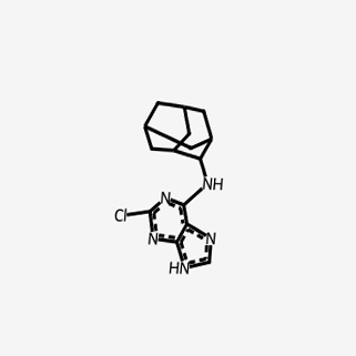 Clc1nc(NC2C3CC4CC(C3)CC2C4)c2nc[nH]c2n1